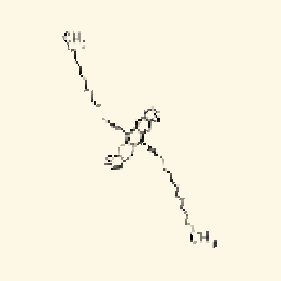 CCCCCCCCCCCCC#Cc1c2c(c(C#CCCCCCCCCCCCC)c3cc4ccsc4cc13)CC1SC=CC1C2